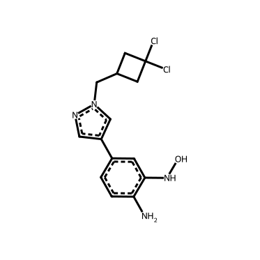 Nc1ccc(-c2cnn(CC3CC(Cl)(Cl)C3)c2)cc1NO